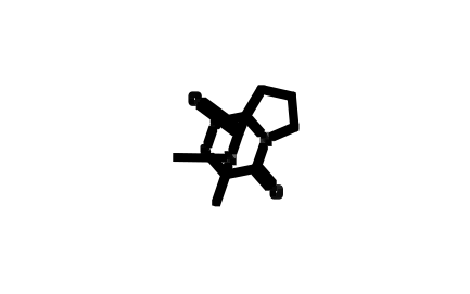 CN1C(=O)C23CCCN2C(=O)C1(C)SS3